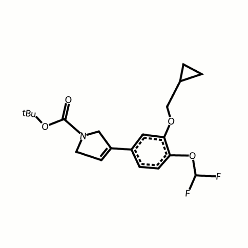 CC(C)(C)OC(=O)N1CC=C(c2ccc(OC(F)F)c(OCC3CC3)c2)C1